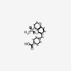 CS(=O)(=O)N1CCOc2ccc(CN3CCN(C(=O)O)CC3)cc21